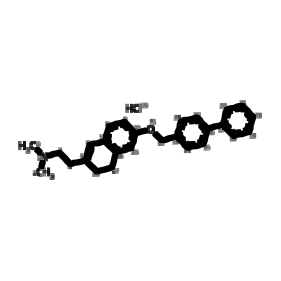 CN(C)CCC1=Cc2ccc(OCc3ccc(-c4ccccc4)cc3)cc2CC1.Cl